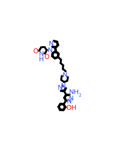 Nc1nnc(-c2ccccc2O)cc1-c1cnn(C2CCN(CCCCCc3ccc4c(c3)c3cccnc3n4C3CCC(=O)NC3=O)CC2)c1